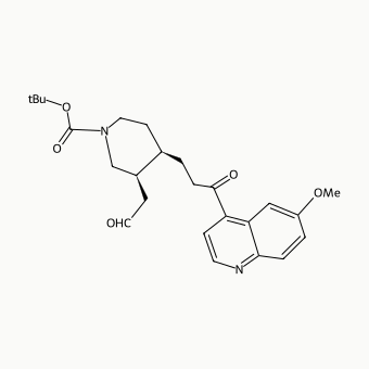 COc1ccc2nccc(C(=O)CC[C@@H]3CCN(C(=O)OC(C)(C)C)C[C@@H]3CC=O)c2c1